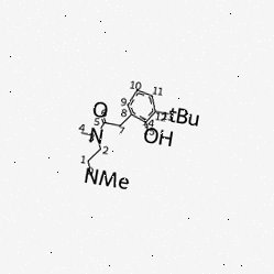 CNCCN(C)C(=O)Cc1cccc(C(C)(C)C)c1O